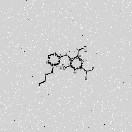 CCCCc1cccc(Cc2c(O)nc(C(C)C)nc2CCl)c1